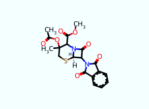 COC(=O)C1N2C(=O)C(N3C(=O)c4ccccc4C3=O)[C@H]2SCC1(C)OC(C)=O